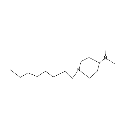 CCCCCCCCN1CCC(N(C)C)CC1